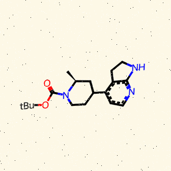 C[C@H]1CC(c2ccnc3c2CCN3)CCN1C(=O)OC(C)(C)C